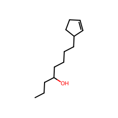 CCCC(O)CCCCC1C=CCC1